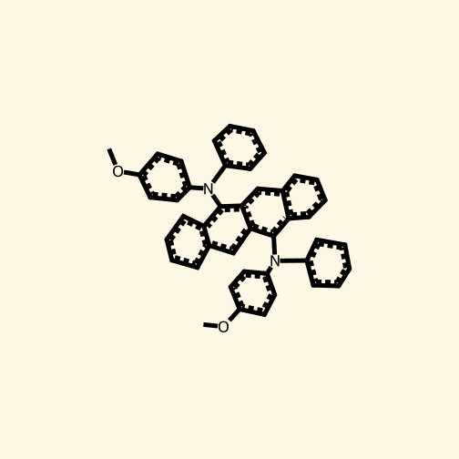 COc1ccc(N(c2ccccc2)c2c3ccccc3cc3c(N(c4ccccc4)c4ccc(OC)cc4)c4ccccc4cc23)cc1